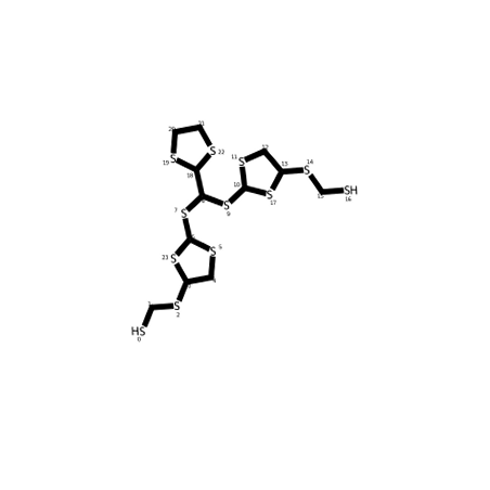 SCSC1CSC(SC(SC2SCC(SCS)S2)C2SCCS2)S1